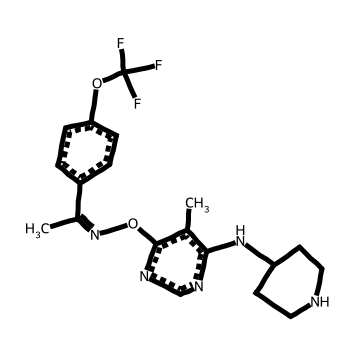 CC(=NOc1ncnc(NC2CCNCC2)c1C)c1ccc(OC(F)(F)F)cc1